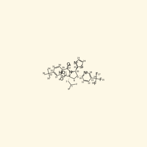 CC(C)C[C@@]1(C(=O)O)C[C@@H](c2ccc(C(F)(F)F)cn2)[C@H](c2nccs2)N1C(=O)c1ccc(C(C)(C)C)cc1